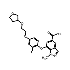 Cn1ncc2cc(C(N)=O)cc(Oc3ccc(OCCOC4CCOC4)cc3F)c21